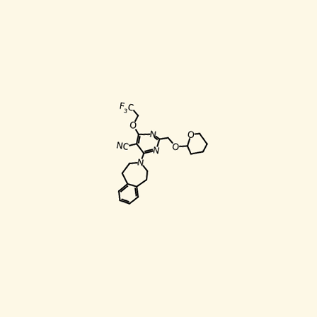 N#Cc1c(OCC(F)(F)F)nc(COC2CCCCO2)nc1N1CCc2ccccc2CC1